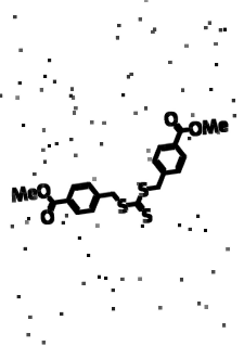 COC(=O)c1ccc(CSC(=S)SCc2ccc(C(=O)OC)cc2)cc1